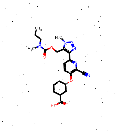 CCCN(C)C(=O)OCc1c(-c2ccc(O[C@H]3CCC[C@H](C(=O)O)C3)c(C#N)n2)nnn1C